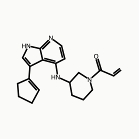 C=CC(=O)N1CCCC(Nc2ccnc3[nH]cc(C4=CCCC4)c23)C1